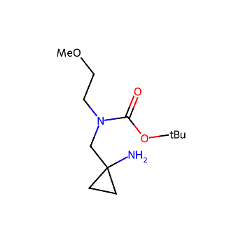 COCCN(CC1(N)CC1)C(=O)OC(C)(C)C